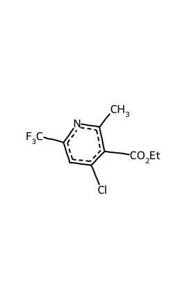 CCOC(=O)c1c(Cl)cc(C(F)(F)F)nc1C